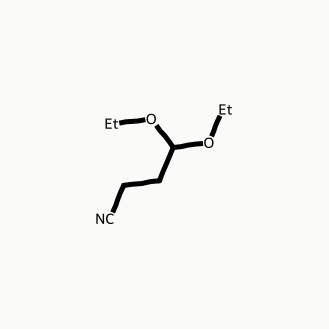 CCO[C](CCC#N)OCC